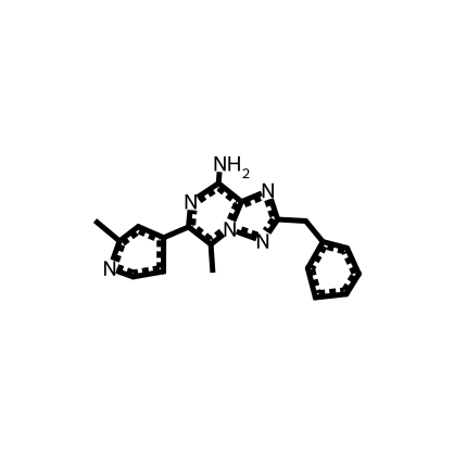 Cc1cc(-c2nc(N)c3nc(Cc4ccccc4)nn3c2C)ccn1